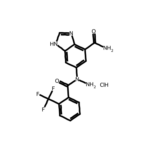 Cl.NC(=O)c1cc(N(N)C(=O)c2ccccc2C(F)(F)F)cc2[nH]cnc12